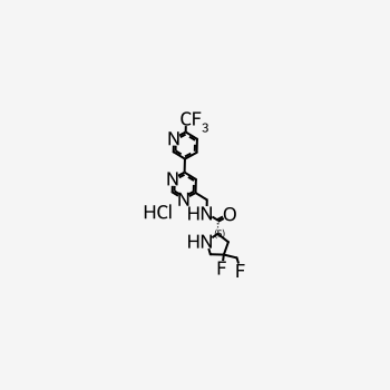 Cl.O=C(NCc1cc(-c2ccc(C(F)(F)F)nc2)ncn1)[C@@H]1CC(F)(CF)CN1